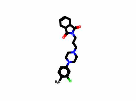 Cc1ccc(N2CCN(CCCN3C(=O)C4CC=CCC4C3=O)CC2)cc1Cl